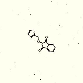 O=C1c2ccccc2C(=O)N1OCc1ncco1